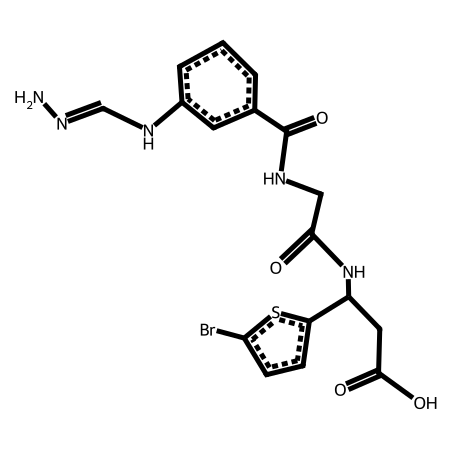 NN=CNc1cccc(C(=O)NCC(=O)NC(CC(=O)O)c2ccc(Br)s2)c1